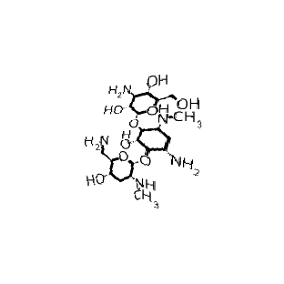 CN[C@@H]1C[C@H](O)[C@@H](CN)O[C@@H]1OC1[C@@H](N)C[C@@H](NC)[C@H](O[C@H]2O[C@H](CO)[C@@H](O)[C@H](N)[C@H]2O)[C@H]1O